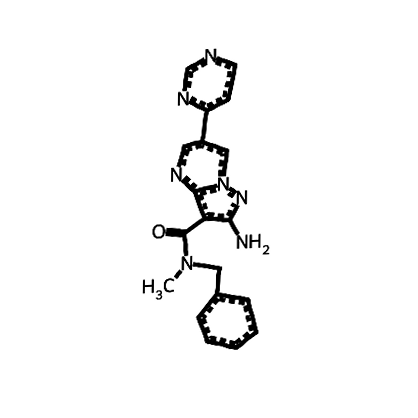 CN(Cc1ccccc1)C(=O)c1c(N)nn2cc(-c3ccncn3)cnc12